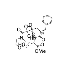 COC(=O)C(NC(=O)[C@H](Cc1ccccc1)CS(=O)(=O)C(C)(C)C(=O)N1CCOCC1)C(=O)O